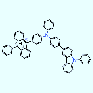 C=C(c1ccccc1)c1ccccc1/C(=C1/C=CC=CC1)c1ccc(N(c2ccccc2)c2ccc(-c3ccc4c(c3)c3ccccc3n4-c3ccccc3)cc2)cc1